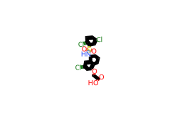 O=C(O)COc1cc(Cl)cc2c1CCCC2NS(=O)(=O)c1cc(Cl)ccc1Cl